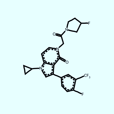 O=C(Cn1ccc2c(c(-c3ccc(F)c(C(F)(F)F)c3)cn2C2CC2)c1=O)N1CCC(F)C1